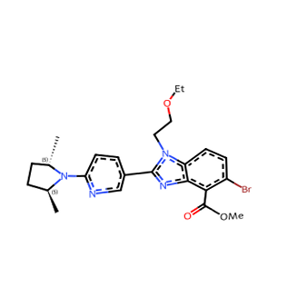 CCOCCn1c(-c2ccc(N3[C@@H](C)CC[C@@H]3C)nc2)nc2c(C(=O)OC)c(Br)ccc21